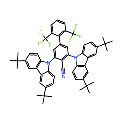 CC(C)(C)c1ccc2c(c1)c1cc(C(C)(C)C)ccc1n2-c1cc(-c2c(C(F)(F)F)cccc2C(F)(F)F)cc(-n2c3ccc(C(C)(C)C)cc3c3cc(C(C)(C)C)ccc32)c1C#N